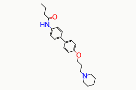 CCCC(=O)Nc1ccc(-c2ccc(OCCCN3CCCCC3)cc2)cc1